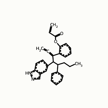 C=C=C(c1ccccc1OC(=O)C=C)C(c1ccc2[nH]ncc2c1)C(CCC)c1ccccc1